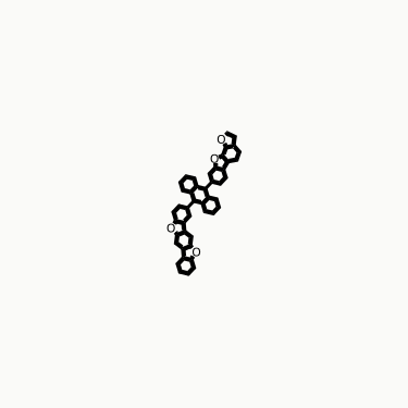 c1ccc2c(c1)oc1cc3c(cc12)oc1ccc(-c2c4ccccc4c(-c4ccc5c(c4)oc4c5ccc5ccoc54)c4ccccc24)cc13